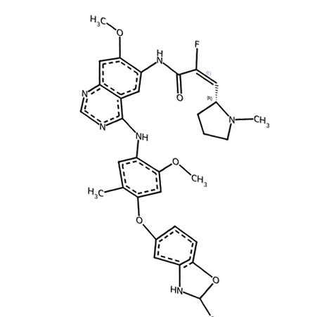 COc1cc2ncnc(Nc3cc(C)c(Oc4ccc5c(c4)NC(O)O5)cc3OC)c2cc1NC(=O)/C(F)=C\[C@H]1CCCN1C